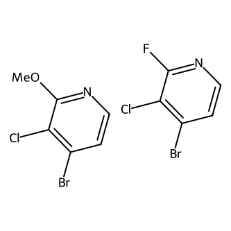 COc1nccc(Br)c1Cl.Fc1nccc(Br)c1Cl